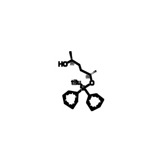 C[C@H](O)CC[C@H](C)O[Si](c1ccccc1)(c1ccccc1)C(C)(C)C